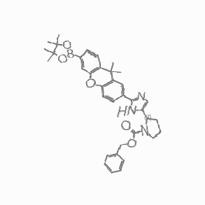 CC1(C)c2ccc(B3OC(C)(C)C(C)(C)O3)cc2Oc2ccc(-c3ncc([C@H]4CCCN4C(=O)OCc4ccccc4)[nH]3)cc21